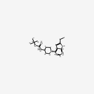 CCc1cc2c(N3CCC(NC(=O)OC(C)(C)C)CC3)ncnc2s1